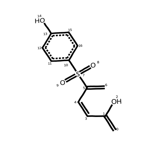 C=C(O)/C=C\C(=C)S(=O)(=O)c1ccc(O)cc1